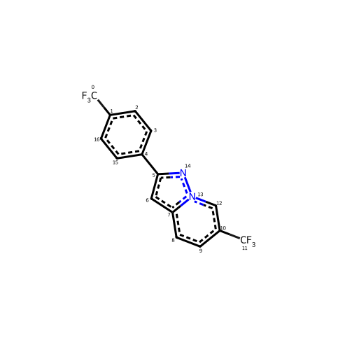 FC(F)(F)c1ccc(-c2cc3ccc(C(F)(F)F)cn3n2)cc1